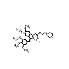 COc1cc2c(cc1OC)/C(=C\c1cc(OC)c(OC)c(OC)c1)C(C)=C2CC(=O)OCCN1CCOCC1